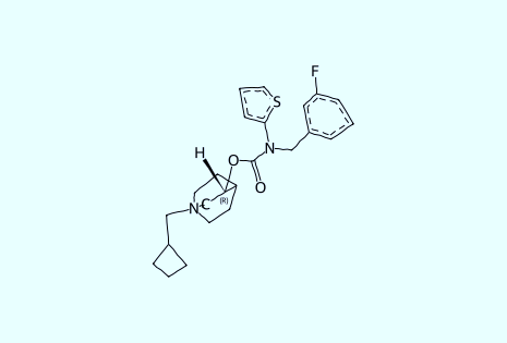 O=C(O[C@H]1C[N+]2(CC3CCC3)CCC1CC2)N(Cc1cccc(F)c1)c1cccs1